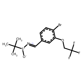 CC(C)(C)[S+]([O-])/N=C/c1ccc(Br)c(OCC(F)(F)F)c1